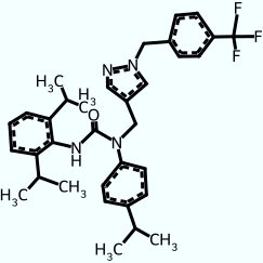 CC(C)c1ccc(N(Cc2cnn(Cc3ccc(C(F)(F)F)cc3)c2)C(=O)Nc2c(C(C)C)cccc2C(C)C)cc1